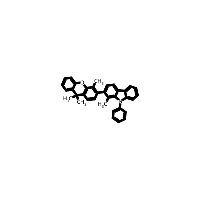 Cc1c(-c2ccc3c4ccccc4n(-c4ccccc4)c3c2C)ccc2c1Oc1ccccc1C2(C)C